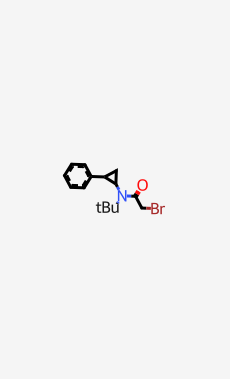 CC(C)(C)N(C(=O)CBr)C1CC1c1ccccc1